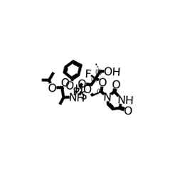 CC(C)OC(=O)C(C)NP(=S)(OC[C@@](F)(O[C@H](CO)n1ccc(=O)[nH]c1=O)[C@H](C)O)Oc1ccccc1